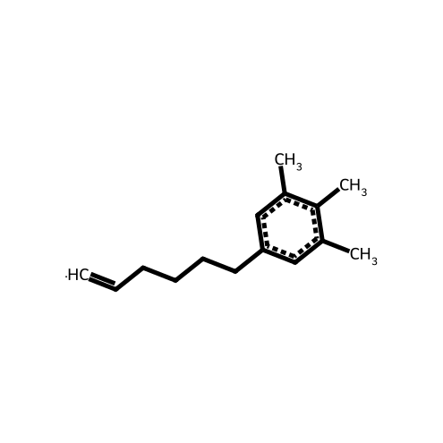 [CH]=CCCCCc1cc(C)c(C)c(C)c1